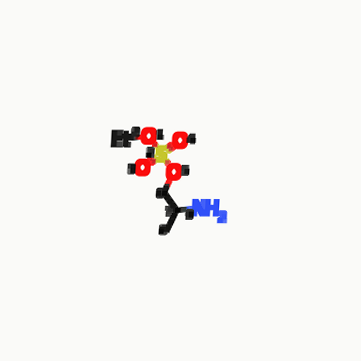 CCOS(=O)(=O)OCC(C)N